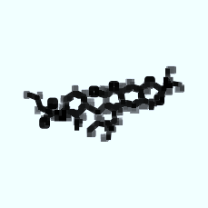 CCCS(=O)(=O)Nc1cccc(Cc2c(CN(C)CC)c3cc(F)c(OC(=O)N(C)C)cc3oc2=O)c1F